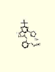 CC(C)(C)c1nc2c(c(N3CC[C@H](O)C3)n1)N(Cc1ccccc1CN=C=S)NN2